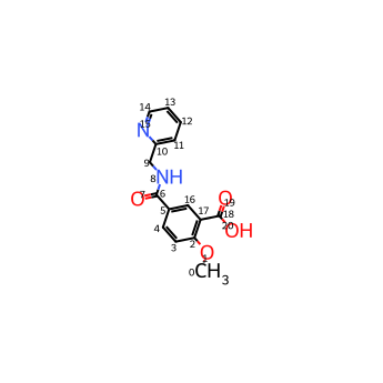 COc1ccc(C(=O)NCc2ccccn2)cc1C(=O)O